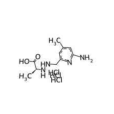 Cc1cc(N)nc(CNN[C@@H](C)C(=O)O)c1.Cl.Cl.Cl